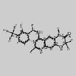 Cc1nc(NC(C)c2cccc(C(F)(F)F)c2F)c2cc3c(cc2n1)OC(C)(C)C(=O)N3C